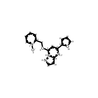 [O-][n+]1ccccc1COc1cc(-c2ccco2)nc2ccnn12